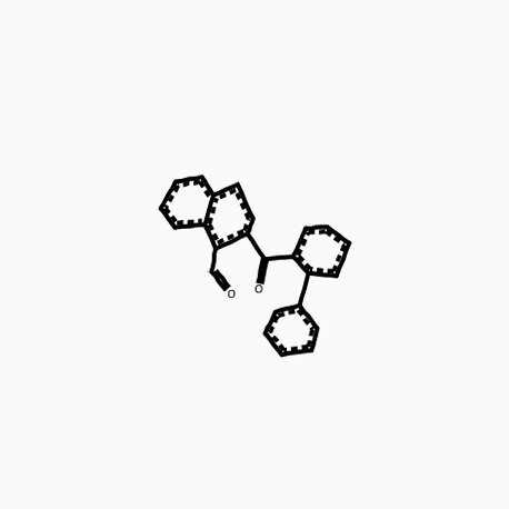 O=[C]c1c(C(=O)c2ccccc2-c2ccccc2)ccc2ccccc12